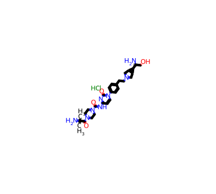 CC(C)(N)C(=O)N1CCN(C(=O)Nc2ccn(-c3ccc(CCN4CC5C(C4)C5[C@@H](N)CO)cc3)c(=O)n2)CC1.Cl